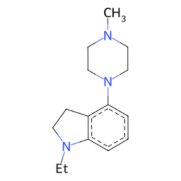 CCN1CCc2c1cccc2N1CCN(C)CC1